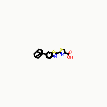 O=C(O)C1CSC(c2nc3ccc(C4[C]5CC6CC(C5)CC4C6)cc3s2)=N1